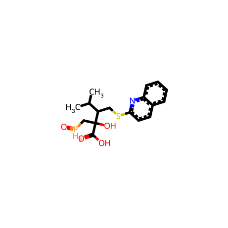 CC(C)C(CSc1ccc2ccccc2n1)C(O)(C[PH2]=O)C(=O)O